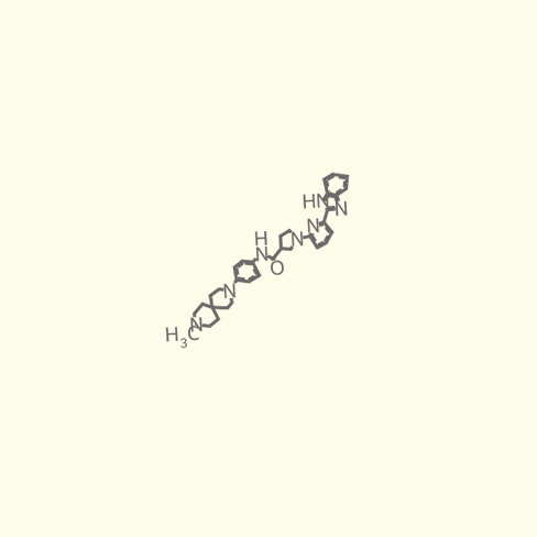 CN1CCC2(CC1)CCN(c1ccc(NC(=O)C3CCN(c4cccc(-c5nc6ccccc6[nH]5)n4)C3)cc1)CC2